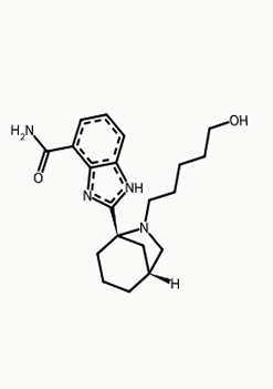 NC(=O)c1cccc2[nH]c([C@@]34CCC[C@@H](CN3CCCCCO)C4)nc12